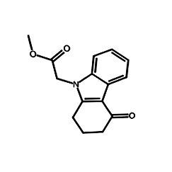 COC(=O)Cn1c2c(c3ccccc31)C(=O)CCC2